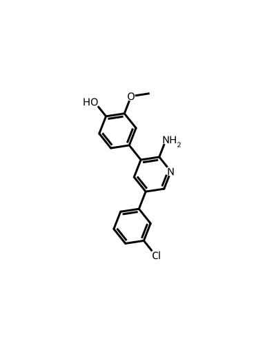 COc1cc(-c2cc(-c3cccc(Cl)c3)cnc2N)ccc1O